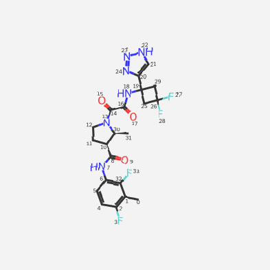 Cc1c(F)ccc(NC(=O)[C@H]2CCN(C(=O)C(=O)NC3(c4c[nH]nn4)CC(F)(F)C3)[C@H]2C)c1F